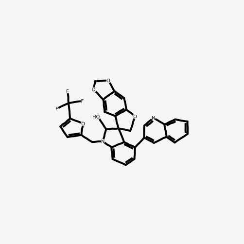 OC1N(Cc2ccc(C(F)(F)F)o2)c2cccc(-c3cnc4ccccc4c3)c2C12COc1cc3c(cc12)OCO3